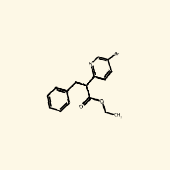 CCOC(=O)C(Cc1ccccc1)c1ccc(Br)cn1